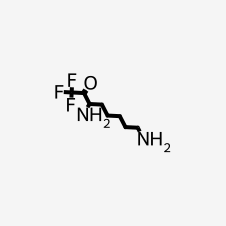 NCCCCCC(N)C(=O)C(F)(F)F